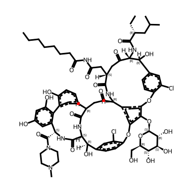 CCCCCCCC(=O)NC(=O)C[C@@H]1CC(=O)[C@H](NC(=O)[C@H](CC)CC(C)C)[C@H](O)c2ccc(c(Cl)c2)Oc2cc3cc(c2O[C@@H]2O[C@H](CO)[C@@H](O)[C@H](O)[C@H]2O)Oc2ccc(cc2Cl)[C@@H](O)[C@@H]2NC(=O)[C@H](CC(=O)[C@@H]3NC1=O)c1ccc(O)c(c1)-c1c(O)cc(O)cc1[C@@H](C(=O)N1CCN(C)CC1)NC2=O